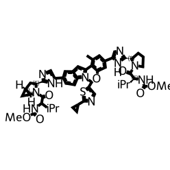 COC(=O)NC(C(=O)N1[C@@H]2C[C@@H]2C[C@H]1c1ncc(-c2ccc3c(c2)cc2n3C(c3cnc(C4CC4)s3)Oc3cc(-c4cnc([C@@H]5CCCN5C(=O)[C@@H](NC(=O)OC)C(C)C)[nH]4)cc(C)c3-2)[nH]1)C(C)C